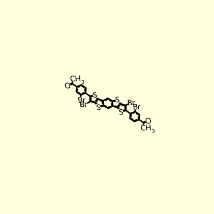 CC(=O)c1ccc(-c2sc3c(sc4cc5c(cc43)sc3c(Br)c(-c4ccc(C(C)=O)cc4Br)sc35)c2Br)c(Br)c1